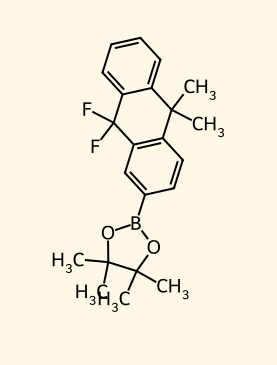 CC1(C)c2ccccc2C(F)(F)c2cc(B3OC(C)(C)C(C)(C)O3)ccc21